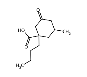 CCCCC1(C(=O)O)CC(=O)CC(C)C1